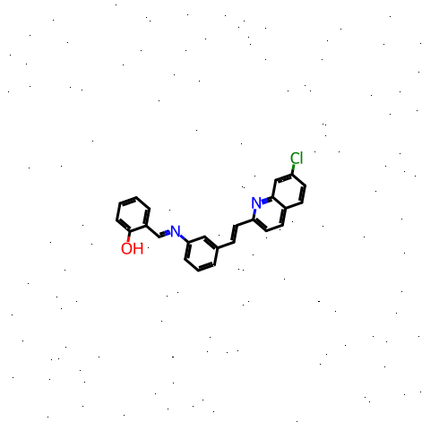 Oc1ccccc1/C=N/c1cccc(/C=C/c2ccc3ccc(Cl)cc3n2)c1